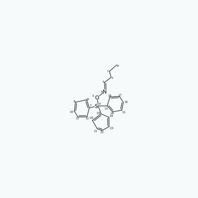 CCC/C=N/O[Si](c1ccccc1)(c1ccccc1)c1ccccc1